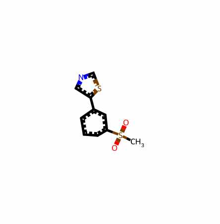 CS(=O)(=O)c1cccc(-c2cncs2)c1